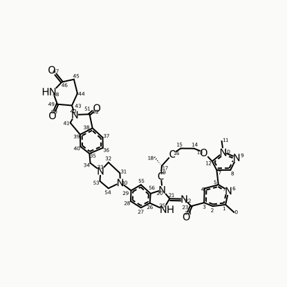 Cc1cc2cc(n1)-c1cnn(C)c1OCCC[C@@H](C)CN1/C(=N/C2=O)Nc2ccc(N3CCN(Cc4ccc5c(c4)CN(C4CCC(=O)NC4=O)C5=O)CC3)cc21